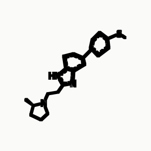 CSc1ccc(-c2ccc3[nH]c(CCN4CCC[C@H]4C)nc3c2)cc1